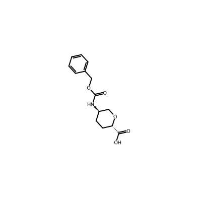 O=C(N[C@@H]1CC[C@@H](C(=O)O)OC1)OCc1ccccc1